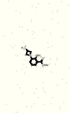 COC(=O)c1cccc(N2CC(C)C2)c1N